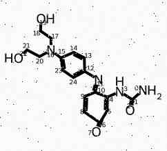 NC(=O)NC1=CC(=O)C=CC1=Nc1ccc(N(CCO)CCO)cc1